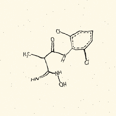 CC(C(=N)NO)C(=O)Nc1c(Cl)cccc1Cl